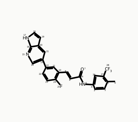 Cc1ccc(NC(=O)C=Cc2cc(-c3cnc4[nH]ccc4c3)ccc2F)cc1C(F)(F)F